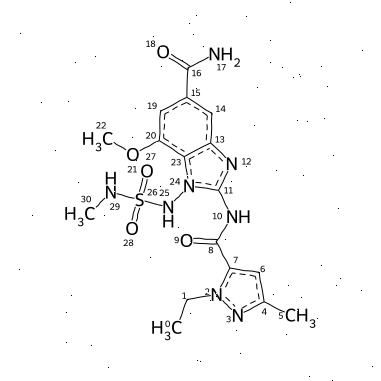 CCn1nc(C)cc1C(=O)Nc1nc2cc(C(N)=O)cc(OC)c2n1NS(=O)(=O)NC